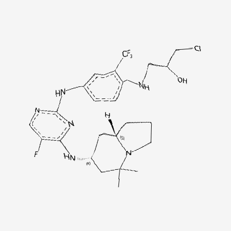 CC1(C)C[C@H](Nc2nc(Nc3ccc(NCC(O)CCl)c(C(F)(F)F)c3)ncc2F)C[C@@H]2CCCN21